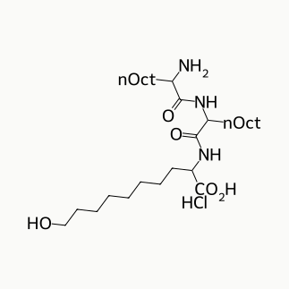 CCCCCCCCC(N)C(=O)NC(CCCCCCCC)C(=O)NC(CCCCCCCCO)C(=O)O.Cl